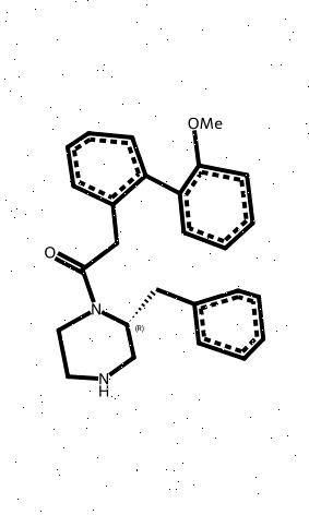 COc1ccccc1-c1ccccc1CC(=O)N1CCNC[C@H]1Cc1ccccc1